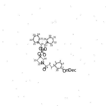 CCCCCCCCCCOc1cccc(CCC(=O)N2CC[C@@H](OP(=O)(OCc3ccccc3)OCc3ccccc3)C2)c1